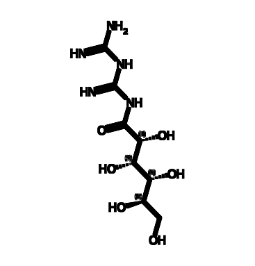 N=C(N)NC(=N)NC(=O)[C@H](O)[C@@H](O)[C@H](O)[C@H](O)CO